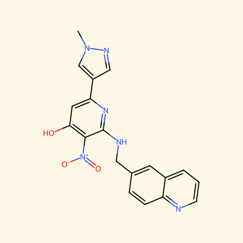 Cn1cc(-c2cc(O)c([N+](=O)[O-])c(NCc3ccc4ncccc4c3)n2)cn1